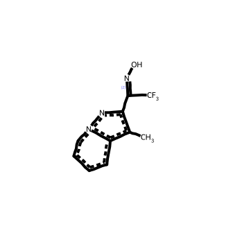 Cc1c(/C(=N/O)C(F)(F)F)nn2ccccc12